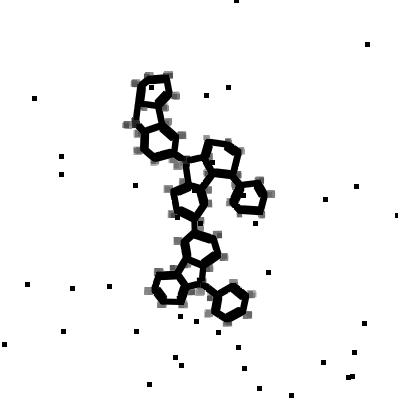 c1ccc(-c2cccc3c2c2cc(-c4ccc5c(c4)c4ccccc4n5-c4ccccc4)ccc2n3-c2ccc3sc4ccccc4c3c2)cc1